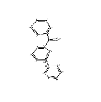 O=[P](c1ccccc1)c1cccc(-c2ccccc2)c1